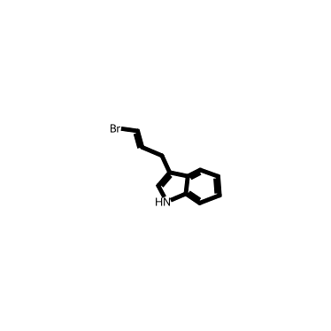 BrC=CCc1c[nH]c2ccccc12